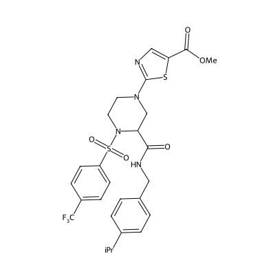 COC(=O)c1cnc(N2CCN(S(=O)(=O)c3ccc(C(F)(F)F)cc3)C(C(=O)NCc3ccc(C(C)C)cc3)C2)s1